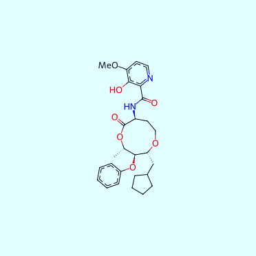 COc1ccnc(C(=O)N[C@H]2CCO[C@H](CC3CCCC3)[C@@H](Oc3ccccc3)[C@H](C)OC2=O)c1O